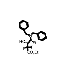 CCOC(=O)C(F)(F)[C@H](O)[C@@H](CC)N(Cc1ccccc1)Cc1ccccc1